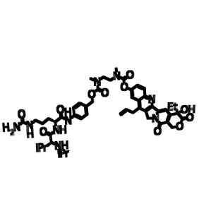 C=CCc1c2c(nc3ccc(OC(=O)N(C)CCN(C)C(=O)OCc4ccc(NC(=O)[C@H](CCCNC(N)=O)NC(=O)[C@@H](NC(C)C)C(C)C)cc4)cc13)-c1cc3c(c(=O)n1C2)COC(=O)[C@]3(O)CC